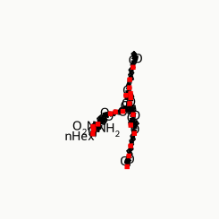 C=CC(=O)OCCCCCCCCCCCOc1ccc(OC(=O)c2ccc(C(=O)Oc3ccc(OCCCCCCCCCCCOC(=O)C=C)cc3)c(C(=O)OCCCCCOC(=O)c3ccc(-c4cc([N+](=O)[O-])c(O[C@@H](C)CCCCCC)cc4N)cc3)c2)cc1